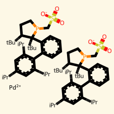 CC(C)c1cc(C(C)C)c(-c2ccccc2C2(C(C)(C)C)C(C(C)(C)C)CCP2CS(=O)(=O)[O-])c(C(C)C)c1.CC(C)c1cc(C(C)C)c(-c2ccccc2C2(C(C)(C)C)C(C(C)(C)C)CCP2CS(=O)(=O)[O-])c(C(C)C)c1.[Pd+2]